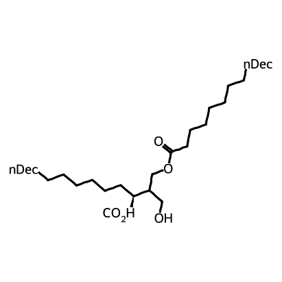 CCCCCCCCCCCCCCCCCC(=O)OCC(CO)[C@H](CCCCCCCCCCCCCCCC)C(=O)O